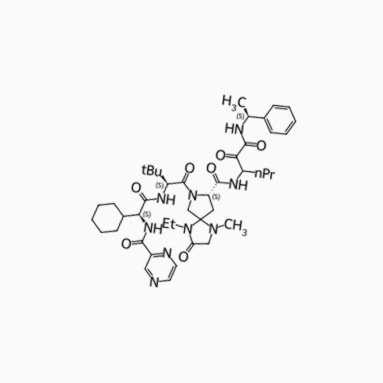 CCCC(NC(=O)[C@@H]1CC2(CN1C(=O)[C@@H](NC(=O)[C@@H](NC(=O)c1cnccn1)C1CCCCC1)C(C)(C)C)N(C)CC(=O)N2CC)C(=O)C(=O)N[C@@H](C)c1ccccc1